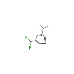 CC(C)c1cccc(C(F)F)c1